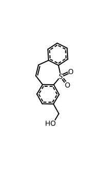 O=S1(=O)c2ccccc2C=Cc2ccc(CO)cc21